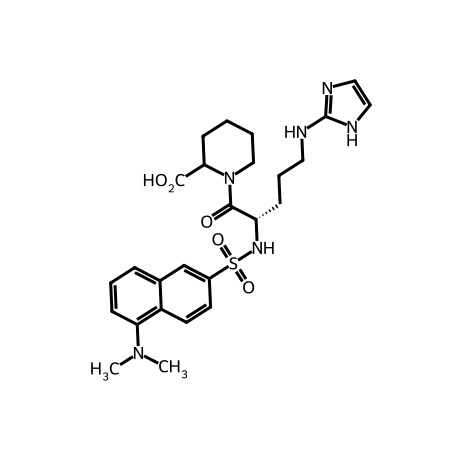 CN(C)c1cccc2cc(S(=O)(=O)N[C@@H](CCCNc3ncc[nH]3)C(=O)N3CCCCC3C(=O)O)ccc12